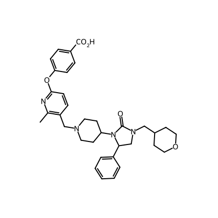 Cc1nc(Oc2ccc(C(=O)O)cc2)ccc1CN1CCC(N2C(=O)N(CC3CCOCC3)CC2c2ccccc2)CC1